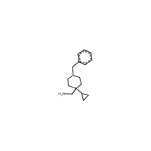 NCC1(C2CC2)CCN(Cc2ccccc2)CC1